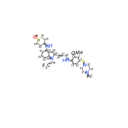 COc1cc(SN2CCN(C(C)=O)CC2)ccc1NCC#Cc1cc2c(NC3CC[S+]([O-])CC3)cccc2n1CC(F)(F)F